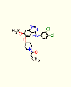 C=CC(=O)N1CCC(Oc2cc3c(Nc4ccc(Cl)c(Cl)c4)ncnc3cc2OC)CC1